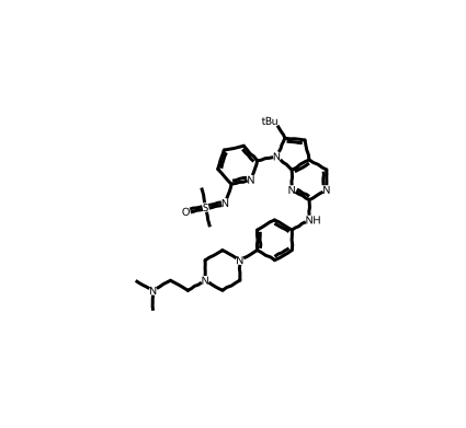 CN(C)CCN1CCN(c2ccc(Nc3ncc4cc(C(C)(C)C)n(-c5cccc(N=S(C)(C)=O)n5)c4n3)cc2)CC1